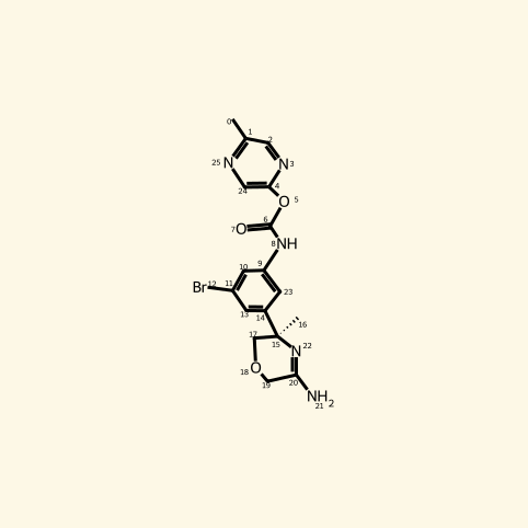 Cc1cnc(OC(=O)Nc2cc(Br)cc([C@]3(C)COCC(N)=N3)c2)cn1